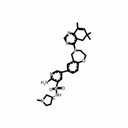 CC1=CC(C)(C)Cc2c1ncnc2N1CCOc2ccc(-c3cnc(N)c(S(=O)(=O)N[C@@H]4CCN(C)C4)c3)cc2C1